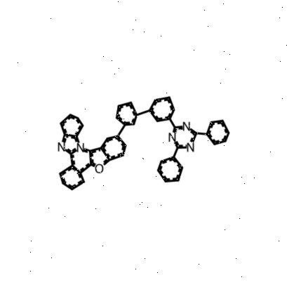 c1ccc(-c2nc(-c3ccccc3)nc(-c3cccc(-c4cccc(-c5ccc6oc7c8ccccc8c8nc9ccccc9n8c7c6c5)c4)c3)n2)cc1